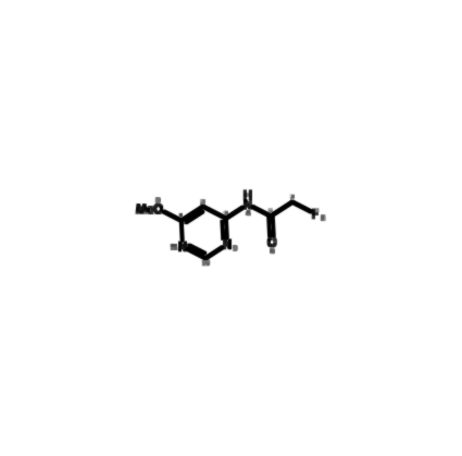 COc1cc(NC(=O)CF)ncn1